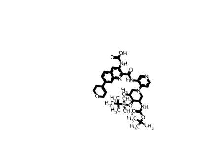 CC1CN(c2ccncc2NC(=O)c2nc3cc(C4=CCOCC4)ccc3cc2NC(=O)O)CC(NC(=O)OC(C)(C)C)C1O[Si](C)(C)C(C)(C)C